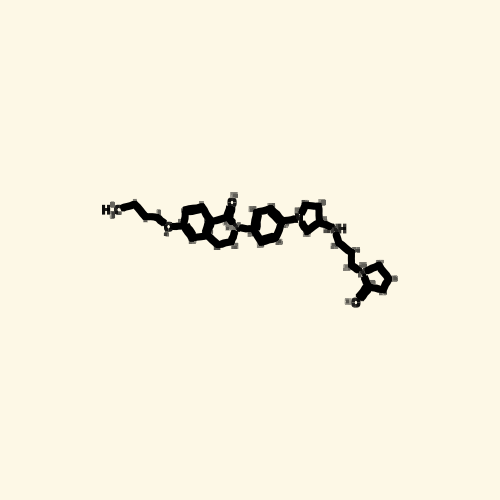 CCCCOc1ccc2c(c1)CCN(c1ccc(N3CCC(NCCCN4CCCC4=O)C3)cc1)C2=O